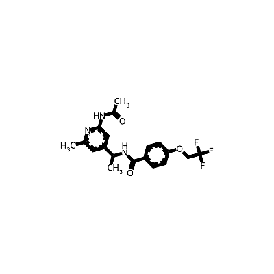 CC(=O)Nc1cc(C(C)NC(=O)c2ccc(OCC(F)(F)F)cc2)cc(C)n1